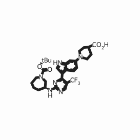 CC(C)(C)OC(=O)N1CCCC[C@H](Nc2ncc(C(F)(F)F)c(-c3c[nH]c4cc(N5CCC(C(=O)O)CC5)ccc34)n2)C1